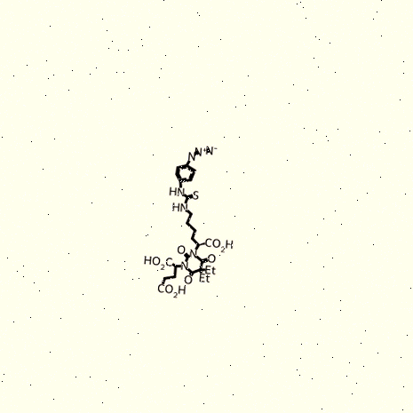 CCC1(CC)C(=O)N(C(CCC(=O)O)C(=O)O)C(=O)N([C@@H](CCCCNC(=S)Nc2ccc(N=[N+]=[N-])cc2)C(=O)O)C1=O